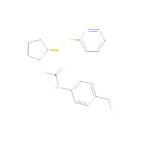 O=C(Nc1ccc(CO)cc1)O[C@@H]1CCC[C@H]1SSc1ccccn1